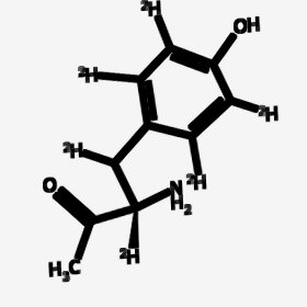 [2H]c1c([2H])c(C([2H])[C@]([2H])(N)C(C)=O)c([2H])c([2H])c1O